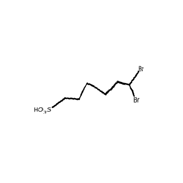 O=S(=O)(O)CCCCCC(Br)Br